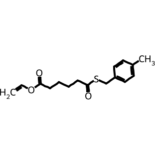 C=COC(=O)CCCCC(=O)SCc1ccc(C)cc1